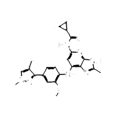 COc1cc(-c2nn(C)cc2C)ccc1Nc1cc(NC(=O)C2CC2)nc2[nH]c(C)nc12